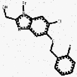 CCn1c(CO)nc2cc(OCc3ccccc3F)c(Cl)cc21